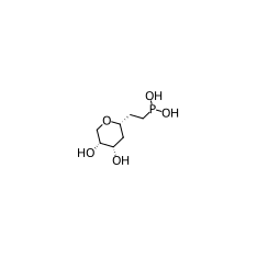 O[C@@H]1CO[C@H](CCP(O)O)C[C@@H]1O